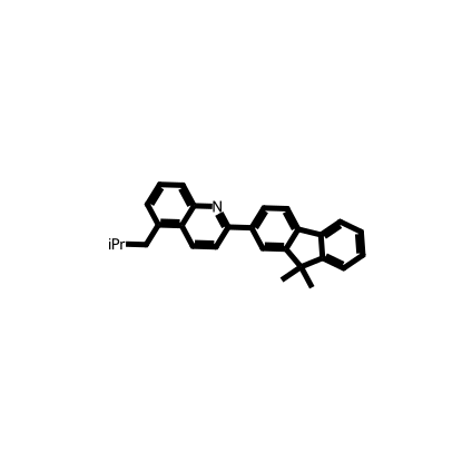 CC(C)Cc1cccc2nc(-c3ccc4c(c3)C(C)(C)c3ccccc3-4)ccc12